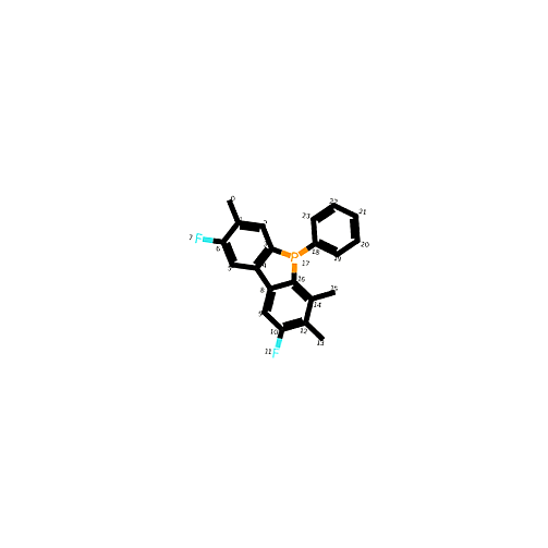 Cc1cc2c(cc1F)c1cc(F)c(C)c(C)c1p2-c1ccccc1